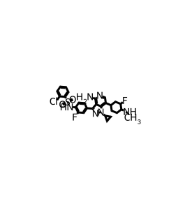 CNC1CCC(c2cnc(N)c3c(-c4ccc(NS(=O)(=O)c5ccccc5Cl)c(F)c4)nn(C4CC4)c23)CC1F